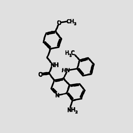 COc1ccc(CNC(=O)c2cnc3c(N)cccc3c2Nc2ccccc2C)cc1